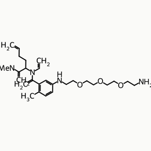 C=CCCC(C(=C)NC)N(C=C)C(=C)c1cc(NCCOCCOCCOCCN)ccc1C